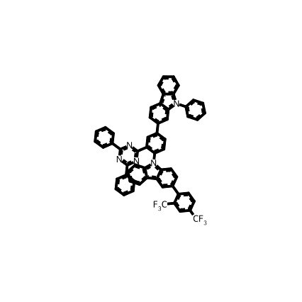 FC(F)(F)c1ccc(-c2ccc3c(c2)c2ccccc2n3-c2ccc(-c3ccc4c5ccccc5n(-c5ccccc5)c4c3)cc2-c2nc(-c3ccccc3)nc(-c3ccccc3)n2)c(C(F)(F)F)c1